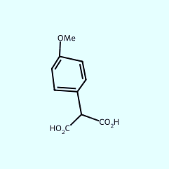 COc1ccc(C(C(=O)O)C(=O)O)cc1